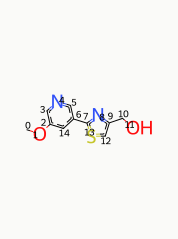 COc1cncc(-c2nc(CO)cs2)c1